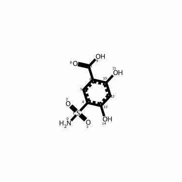 NS(=O)(=O)c1cc(C(=O)O)c(O)cc1O